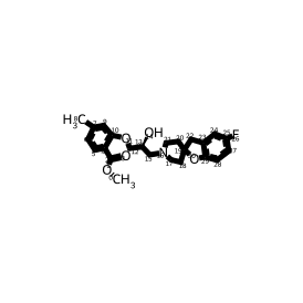 COC(=O)c1ccc(C)cc1OC[C@@H](O)CN1CCC2(CC1)Cc1cc(F)ccc1O2